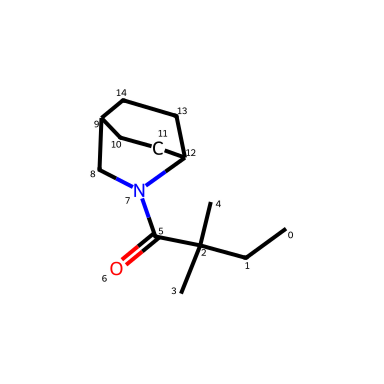 CCC(C)(C)C(=O)N1CC2CCC1CC2